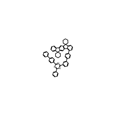 c1ccc(-c2ccc(-c3nc(-c4ccccc4)nc(-c4cccc(-c5ccc(-c6cccc7c6-c6cc8c(cc6C76CCCCC6)-c6ccccc6C86CCCCC6)cc5)c4)n3)cc2)cc1